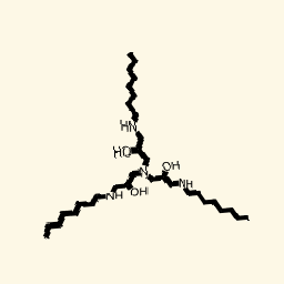 CCCCCCCCNCC(O)CN(CC(O)CNCCCCCCCC)CC(O)CNCCCCCCCC